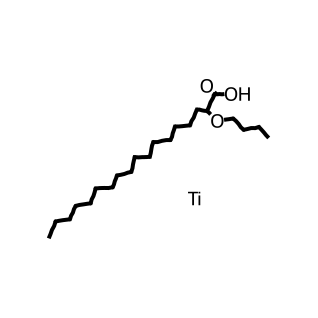 CCCCCCCCCCCCCCCCC(OCCCC)C(=O)O.[Ti]